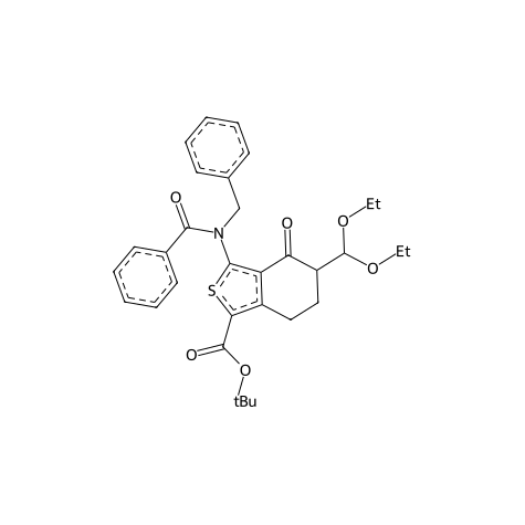 CCOC(OCC)C1CCc2c(C(=O)OC(C)(C)C)sc(N(Cc3ccccc3)C(=O)c3ccccc3)c2C1=O